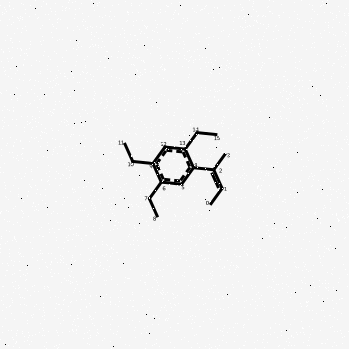 C/C=C(/C)c1cc(CC)c(CC)cc1CC